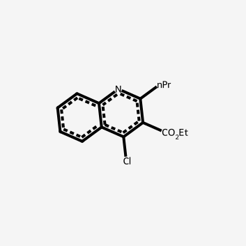 CCCc1nc2ccccc2c(Cl)c1C(=O)OCC